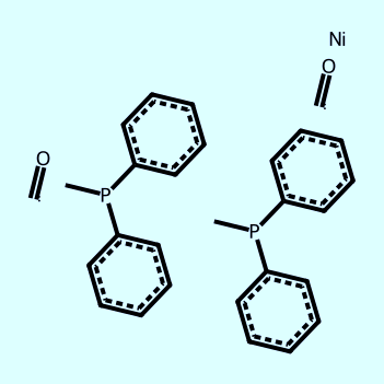 CP(c1ccccc1)c1ccccc1.CP(c1ccccc1)c1ccccc1.[C]=O.[C]=O.[Ni]